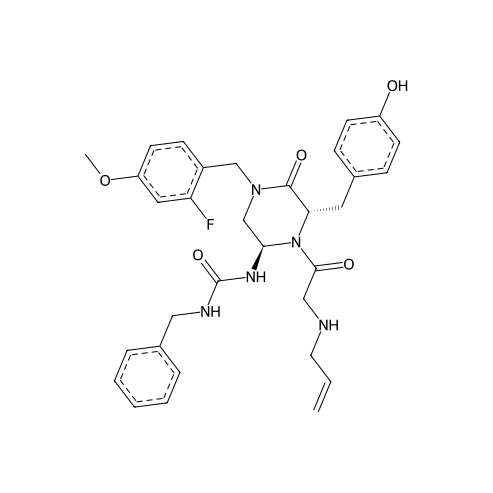 C=CCNCC(=O)N1[C@@H](NC(=O)NCc2ccccc2)CN(Cc2ccc(OC)cc2F)C(=O)[C@@H]1Cc1ccc(O)cc1